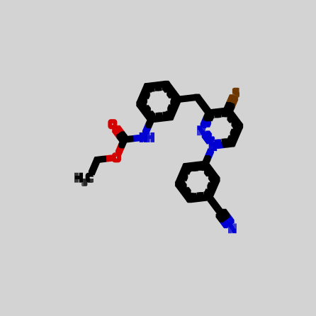 CCOC(=O)Nc1cccc(Cc2nn(-c3cccc(C#N)c3)ccc2=S)c1